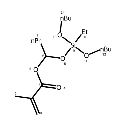 C=C(C)C(=O)OC(CCC)O[Si](CC)(OCCCC)OCCCC